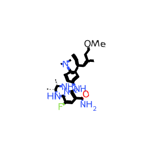 C=C=C(/C=C(/C)CCOC)c1cc(Nc2nc(N[C@H](C)[C@H](C)N)c(F)cc2C(N)=O)ccc1N(C)C